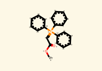 CC(C)OC(=O)C=P(c1ccccc1)(c1ccccc1)c1ccccc1